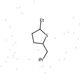 CCC1CCC(CC(C)C)S1